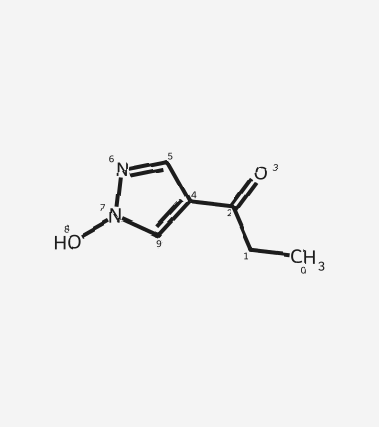 CCC(=O)c1cnn(O)c1